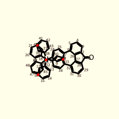 O=C1c2cccc(-c3ccc(N(c4ccccc4)c4ccccc4)cc3)c2-c2c1cccc2-c1ccc(N(c2ccccc2)c2ccccc2)cc1